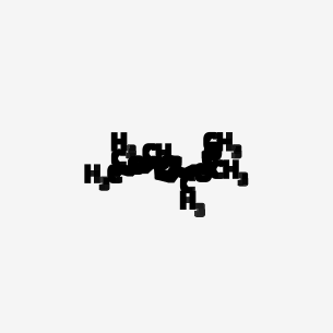 COCC(C)OC=C(C)c1ccc(C(C)=COCC(C)C)cc1